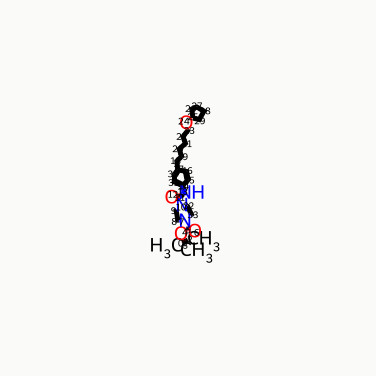 CC(C)(C)OC(=O)N1CCN(C(=O)Nc2ccc(CCCCCCOC3CCCC3)cc2)CC1